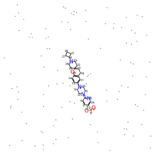 CS(=O)(=O)c1ccc(N2CCN(c3ccc4c(c3)CCC3(CCN(C5CCC5)CC3)O4)CC2)nc1